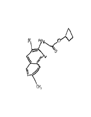 Cc1ccc2cc(Br)c(NC(=O)OC3CCC3)nc2c1